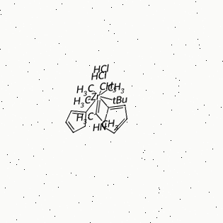 C[C](C)=[Zr]([CH3])([CH3])([CH3])([CH3])([C]1=CC=CC1)([c]1ccc[nH]1)[C](C)(C)C.Cl.Cl